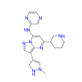 CN1C=C(c2cnn3c(Nc4cnccn4)cc(C4CCCNC4)nc23)CN1